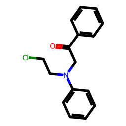 O=C(CN(CCCl)c1ccccc1)c1ccccc1